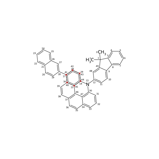 CC1(C)c2ccccc2-c2ccc(N(c3ccc(-c4ccc5ccccc5c4)cc3)c3cccc4ccc5ccc6ccccc6c5c34)cc21